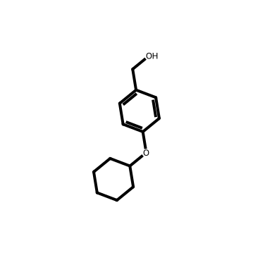 OCc1ccc(OC2CCCCC2)cc1